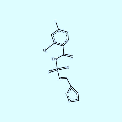 O=C(NS(=O)(=O)C=Cc1cccs1)c1ccc(F)cc1Cl